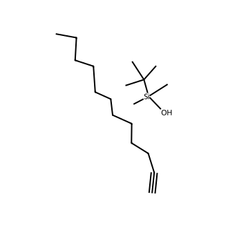 C#CCCCCCCCCCC.CC(C)(C)[Si](C)(C)O